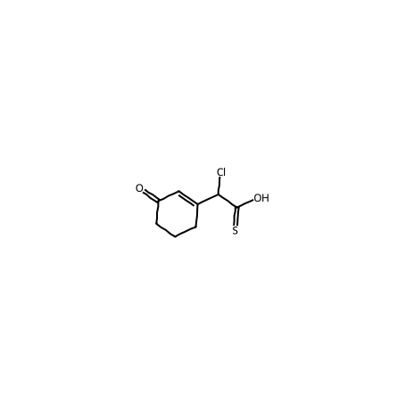 O=C1C=C(C(Cl)C(O)=S)CCC1